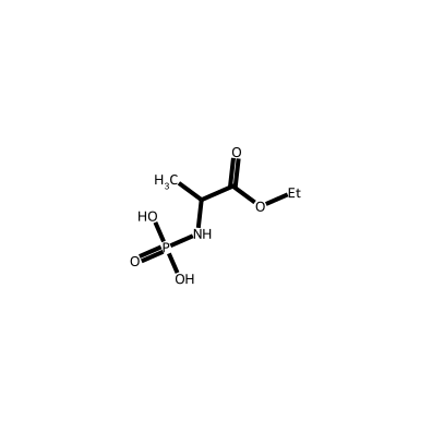 CCOC(=O)C(C)NP(=O)(O)O